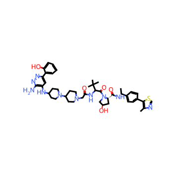 Cc1ncsc1-c1ccc(C(C)NC(=O)[C@@H]2C[C@@H](O)CN2C(=O)C(NC(=O)CN2CCC(N3CCC(Nc4cc(-c5ccccc5O)nnc4N)CC3)CC2)C(C)(C)C)cc1